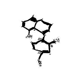 Oc1cccc2cccc(-c3ccc(Br)cc3F)c12